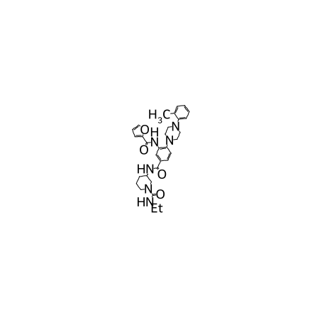 CCNC(=O)N1CCC[C@@H](NC(=O)c2ccc(N3CCN(c4ccccc4C)CC3)c(NC(=O)c3ccco3)c2)C1